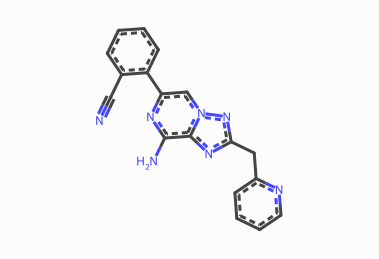 N#Cc1ccccc1-c1cn2nc(Cc3ccccn3)nc2c(N)n1